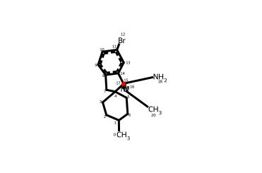 CC1CCC2(CC1)Cc1ccc(Br)cc1C21N=C(N)N(C)O1